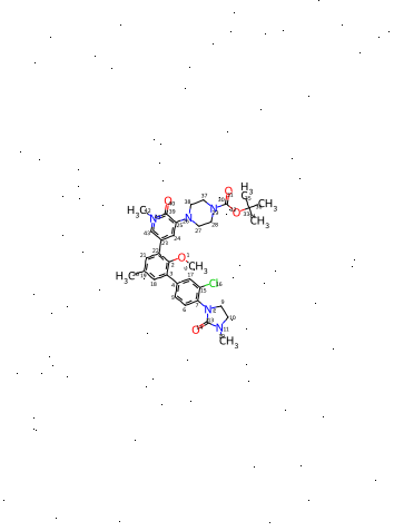 COc1c(-c2ccc(N3CCN(C)C3=O)c(Cl)c2)cc(C)cc1-c1cc(N2CCN(C(=O)OC(C)(C)C)CC2)c(=O)n(C)c1